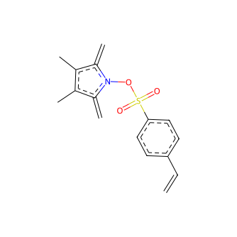 C=Cc1ccc(S(=O)(=O)On2c(=C)c(C)c(C)c2=C)cc1